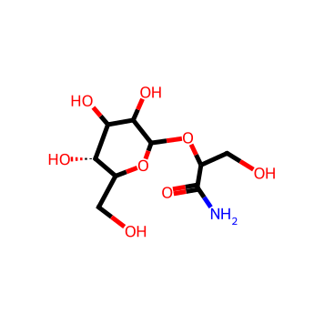 NC(=O)C(CO)OC1OC(CO)[C@H](O)C(O)C1O